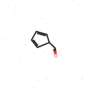 O=CC1[C]=CC=C1